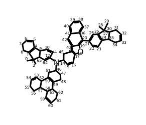 CC1(C)C2=C(C=CCC2)C2C=CC(N(C3C=Cc4oc5c(-c6ccc7c(c6)C(C)(C)C6CC=CCC76)c6ccccc6cc5c4C3)C3CCC4=C(C3)C3C=CCCC3C3C=CCCC43)=CC21